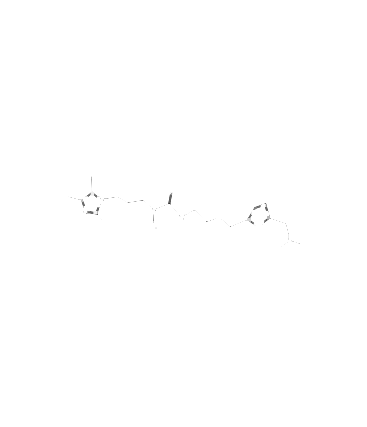 Cc1nc(C)n(CCCN(S)C(=O)NCCSCc2ccc(CN(C)C)o2)c1C